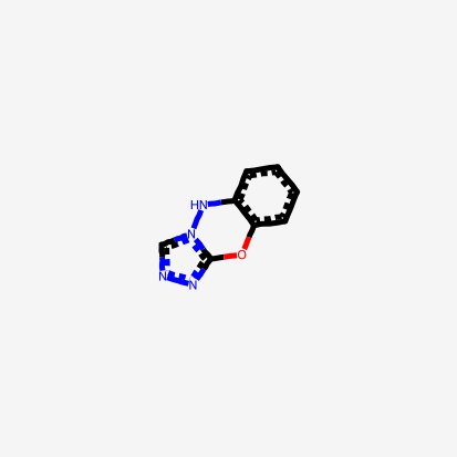 c1ccc2c(c1)Nn1cnnc1O2